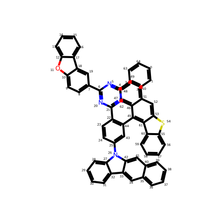 c1ccc(-c2nc(-c3ccc4oc5ccccc5c4c3)nc(-c3ccc(-n4c5ccccc5c5cc6ccccc6cc54)cc3-c3c4ccccc4cc4sc5ccccc5c34)n2)cc1